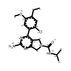 CCc1cc(Cl)c(-c2nc(N)nc3c2CN(C(=O)NC(C)C)C3)cc1OC